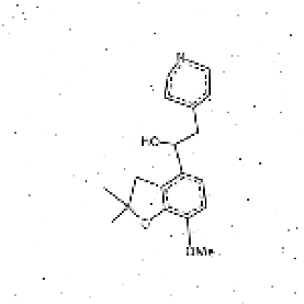 COc1ccc(C(O)Cc2ccncc2)c2c1OC(C)(C)C2